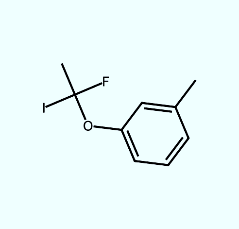 Cc1cccc(OC(C)(F)I)c1